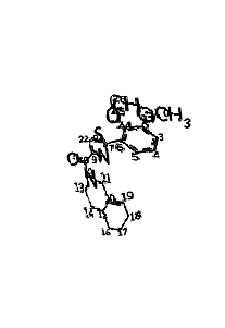 COc1cccc(-c2nc(C(=O)N3CCC4CCCC=C4C3)cs2)c1OC